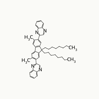 CCCCCCCCC1(CCCCCCCC)c2cc(-c3cnc4ccccc4n3)c(C)cc2-c2cc(C)c(-c3cnc4ccccc4n3)cc21